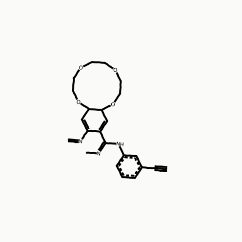 C#Cc1cccc(N/C(=N/C)C2=CC3OCCOCCOCCOC3C=C2N=C)c1